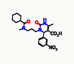 CC1=C(C(=O)O)C(c2cccc([N+](=O)[O-])c2)N(CCCN(C)C(=O)C2CCCCC2)C(=O)N1